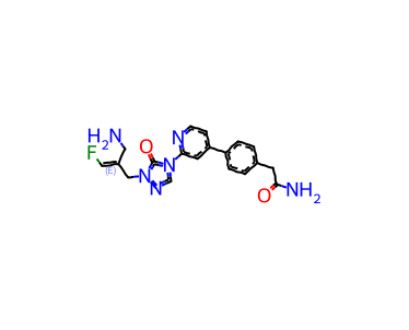 NC/C(=C\F)Cn1ncn(-c2cc(-c3ccc(CC(N)=O)cc3)ccn2)c1=O